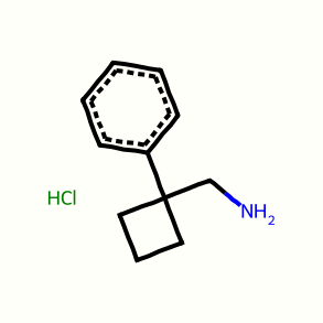 Cl.NCC1(c2ccccc2)CCC1